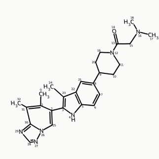 Cc1c(-c2[nH]c3ccc(C4CCN(C(=O)CN(C)C)CC4)cc3c2C)cn2ncnc2c1C